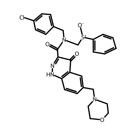 O=C(c1n[nH]c2ccc(CN3CCOCC3)cc2c1=O)N(Cc1ccc(Cl)cc1)C[S+]([O-])c1ccccc1